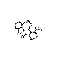 CCCc1cccc(CCC)c1N1C(=O)c2cccc(C(=O)O)c2C1=O